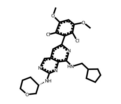 COc1cc(OC)c(Cl)c(-c2cc3cnc(N[C@H]4CCCOC4)nc3c(NCC3CCCC3)n2)c1Cl